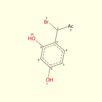 CC(=O)C(Br)c1ccc(O)cc1O